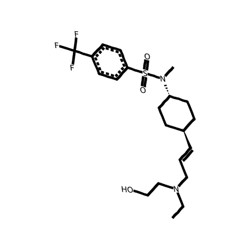 CCN(CC=C[C@H]1CC[C@H](N(C)S(=O)(=O)c2ccc(C(F)(F)F)cc2)CC1)CCO